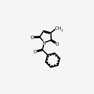 CC1=CC(=O)N(C(=O)c2ccccc2)C1=O